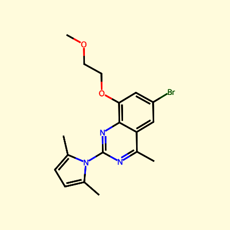 COCCOc1cc(Br)cc2c(C)nc(-n3c(C)ccc3C)nc12